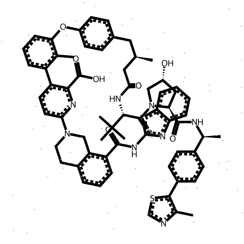 Cc1ncsc1-c1ccc([C@H](C)NC(=O)[C@@H]2C[C@@H](O)CN2C(=O)[C@@H](NC(=O)C[C@H](C)Cc2ccc(Oc3cccc(-c4ccc(N5CCc6cccc(C(=O)Nc7nc8ccccc8s7)c6C5)nc4C(=O)O)c3C)cc2)C(C)(C)C)cc1